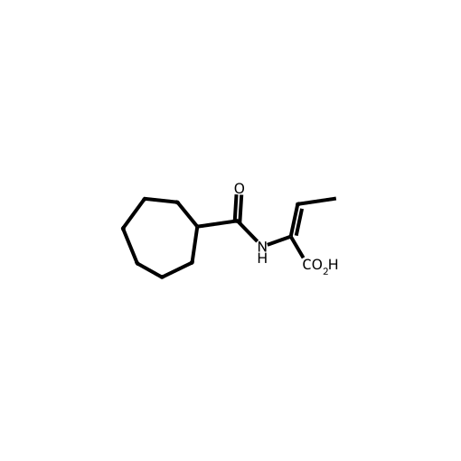 CC=C(NC(=O)C1CCCCCC1)C(=O)O